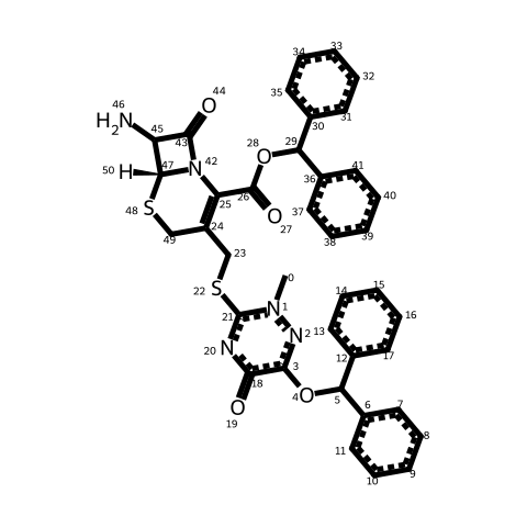 Cn1nc(OC(c2ccccc2)c2ccccc2)c(=O)nc1SCC1=C(C(=O)OC(c2ccccc2)c2ccccc2)N2C(=O)C(N)[C@H]2SC1